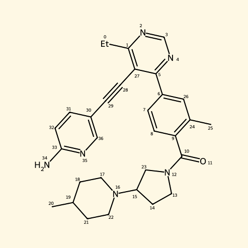 CCc1ncnc(-c2ccc(C(=O)N3CCC(N4CCC(C)CC4)C3)c(C)c2)c1C#Cc1ccc(N)nc1